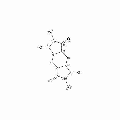 CC(C)N1C(=O)C2CC3C(=O)N(C(C)C)C(=O)C3CC2C1=O